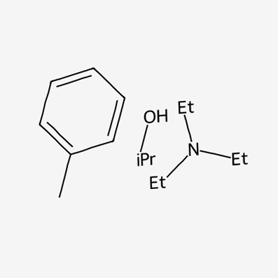 CC(C)O.CCN(CC)CC.Cc1ccccc1